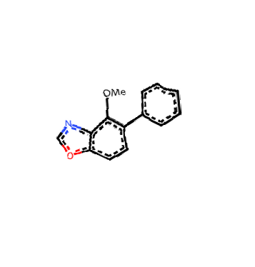 COc1c(-c2ccccc2)ccc2ocnc12